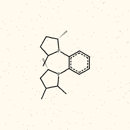 CC1C[C@H](C)P(c2ccccc2P2C(C)CC[C@@H]2C)C1C